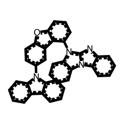 c1ccc2c(c1)nc1n(-c3cccc4oc5ccc(-n6c7ccccc7c7ccccc76)cc5c34)c3ccccc3n21